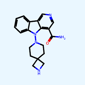 NC(=O)c1cncc2c3ccccc3n(N3CCC4(CC3)CNC4)c12